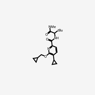 CNC(=O)C(NC(=O)c1ccc(C2CC2)c(OCC2CC2)n1)C(C)(C)C